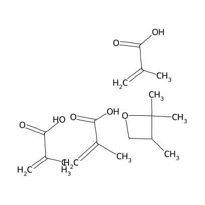 C=C(C)C(=O)O.C=C(C)C(=O)O.C=C(C)C(=O)O.CC1COC1(C)C